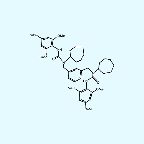 COc1cc(OC)c(NC(=O)N(Cc2cccc(CN(C(=O)Nc3c(OC)cc(OC)cc3OC)C3CCCCCC3)c2)C2CCCCCC2)c(OC)c1